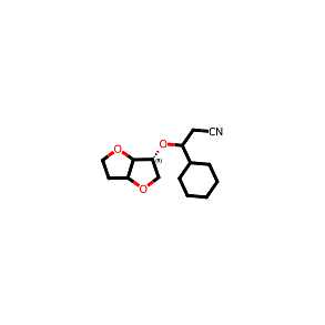 N#CCC(O[C@@H]1COC2CCOC21)C1CCCCC1